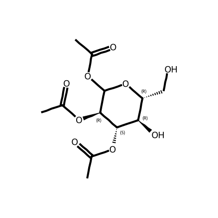 CC(=O)OC1O[C@H](CO)[C@@H](O)[C@H](OC(C)=O)[C@H]1OC(C)=O